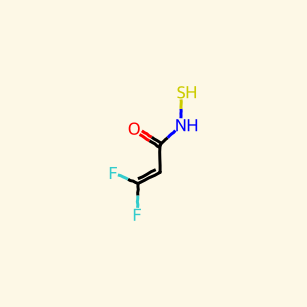 O=C(C=C(F)F)NS